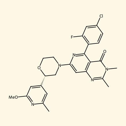 COc1cc([C@H]2CN(c3cc4nc(C)n(C)c(=O)c4c(-c4ccc(Cl)cc4F)n3)CCO2)cc(C)n1